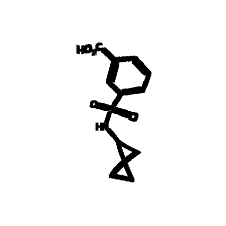 O=C(O)c1cccc(S(=O)(=O)NC2CC23CC3)c1